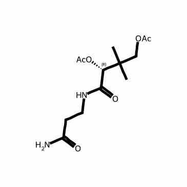 CC(=O)OCC(C)(C)[C@@H](OC(C)=O)C(=O)NCCC(N)=O